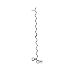 CC(C)CCCCCCCCC=CCCCCCCCC(=O)O